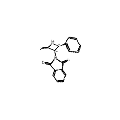 O=C1N[C@@H](c2ccccc2)[C@H]1N1C(=O)c2ccccc2C1=O